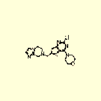 Clc1nc(N2CCOCC2)c2sc(CN3CCn4ccnc4C3)cc2n1